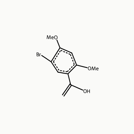 C=C(O)c1cc(Br)c(OC)cc1OC